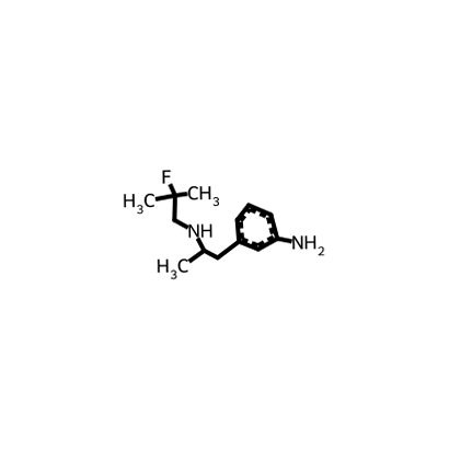 CC(Cc1cccc(N)c1)NCC(C)(C)F